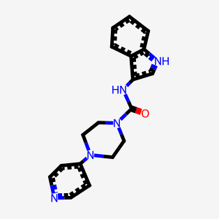 O=C(Nc1c[nH]c2ccccc12)N1CCN(c2ccncc2)CC1